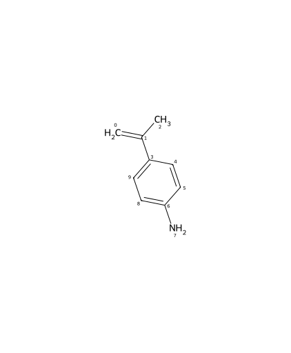 C=C(C)c1ccc(N)cc1